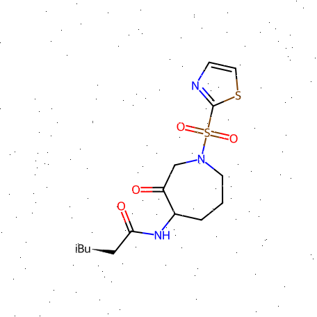 [CH2]C[C@H](C)CC(=O)NC1CCCN(S(=O)(=O)c2nccs2)CC1=O